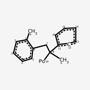 Cc1ccccc1C[C](C)([Po])c1ccccc1